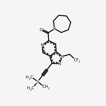 CS(C)(C)C#Cc1nn(CC(F)(F)F)c2cc(C(=O)N3CCCCCC3)ncc12